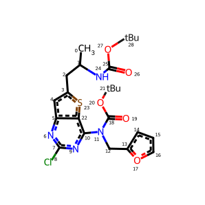 CC(Cc1cc2nc(Cl)nc(N(Cc3ccco3)C(=O)OC(C)(C)C)c2s1)NC(=O)OC(C)(C)C